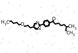 CCCCCOCCCc1cnc(-c2ccc(C(=O)CCCCC(C)CC)cc2)nc1